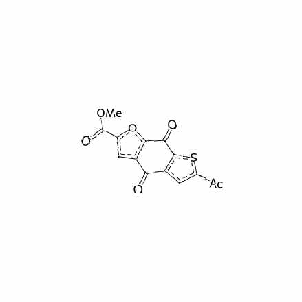 COC(=O)c1cc2c(o1)C(=O)c1sc(C(C)=O)cc1C2=O